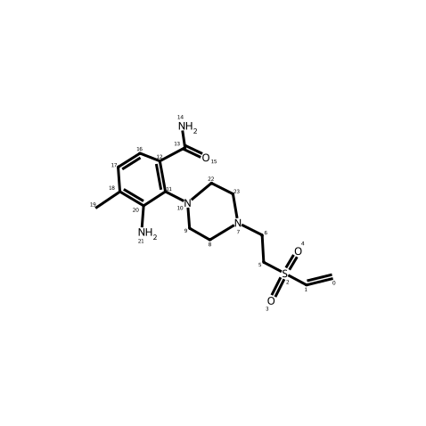 C=CS(=O)(=O)CCN1CCN(c2c(C(N)=O)ccc(C)c2N)CC1